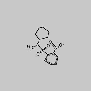 CN(C1CCCCC1)S(=O)(=O)c1ccccc1[N+](=O)[O-]